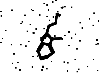 CC(C)CCc1nc2ccccc2n1C